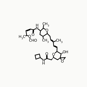 CC(/C=C/C1O[C@H](CC(=O)NC2CCC2)CC2(CO2)[C@@H]1O)=C\CC1OC(C)C(NC(=O)/C=C\C(C)OC=O)CC1C